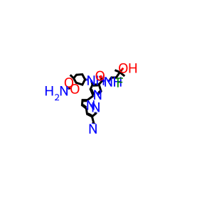 CC1(OC(N)=O)CCC(Nc2cc(-c3ccc4cc(C#N)cnn34)ncc2C(=O)NCC(F)C(C)(C)O)CC1